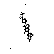 Cc1cn2cc(-c3cc4ncn(C5CCN(C(=O)OC(C)(C)C)CC5)c(=O)c4cc3F)cc(F)c2n1